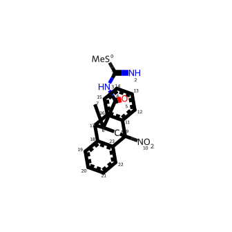 CSC(=N)NC(=O)C1(C)CC2([N+](=O)[O-])c3ccccc3C1c1ccccc12